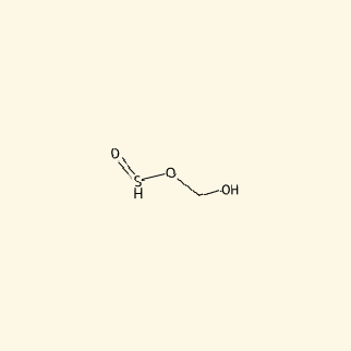 O=[SH]OCO